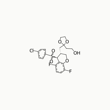 O=S(=O)(c1ccc(Cl)cc1)[C@@H]1c2c(F)ccc(F)c2OC[C@H]1CC1(CCO)OCCO1